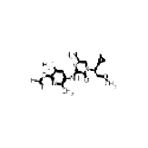 COC[C@H](C1CC1)n1cc(N)nc(Nc2cc(C)c(OC(F)F)nc2C)c1=O